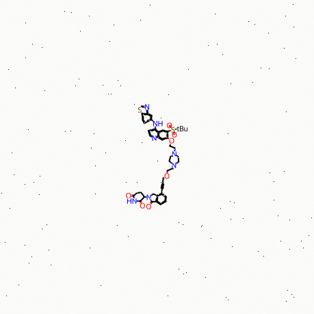 CC(C)(C)S(=O)(=O)c1cc2c(Nc3ccc4scnc4c3)ccnc2cc1OCCN1CCN(CCOCC#Cc2cccc3c2CN(C2CCC(=O)NC2=O)C3=O)CC1